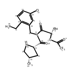 CC(C)(C)[C@H](OC(=O)C(F)(F)F)C(=O)N(Cc1cc(Cl)ccc1CN)C(=O)[C@@H]1C[C@H](C(F)(F)F)CN1